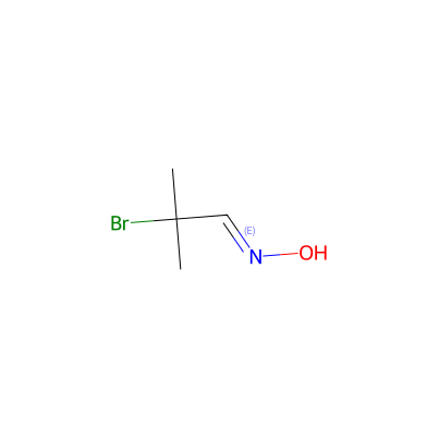 CC(C)(Br)/C=N/O